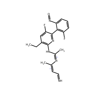 CCc1cc(F)c(-c2c(F)cccc2N=O)nc1N/C(C)=N\C(C)=C/C=N